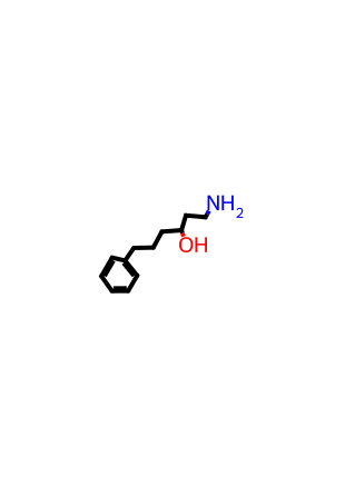 NCCC(O)CCCc1ccccc1